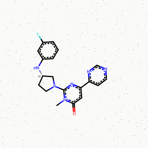 Cn1c(N2CC[C@H](Nc3cccc(F)c3)C2)nc(-c2ccncn2)cc1=O